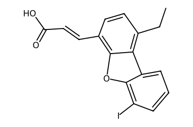 CCc1ccc(C=CC(=O)O)c2oc3c(I)cccc3c12